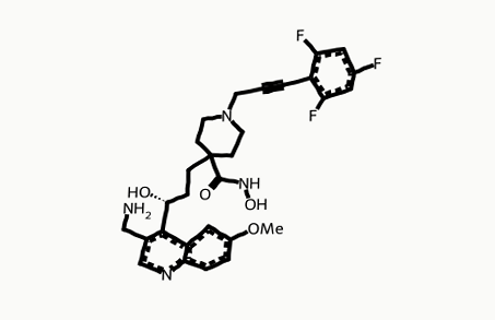 COc1ccc2ncc(CN)c([C@H](O)CCC3(C(=O)NO)CCN(CC#Cc4c(F)cc(F)cc4F)CC3)c2c1